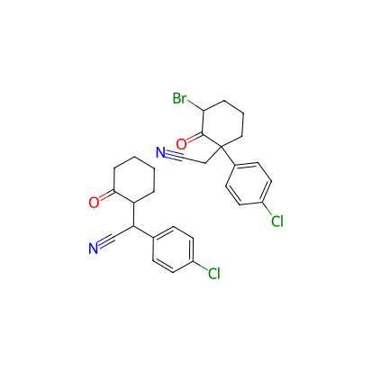 N#CC(c1ccc(Cl)cc1)C1CCCCC1=O.N#CCC1(c2ccc(Cl)cc2)CCCC(Br)C1=O